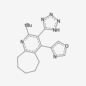 CC(C)(C)c1nc2c(c(-c3cocn3)c1-c1nnn[nH]1)CCCCC2